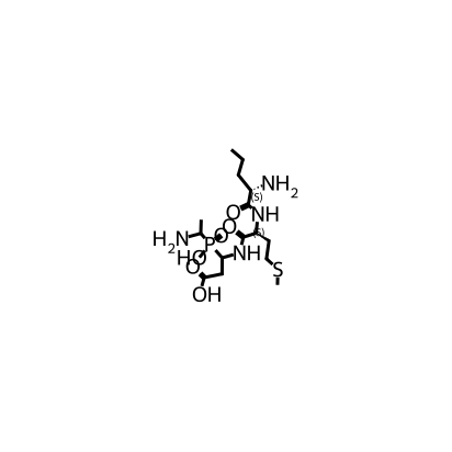 CCC[C@H](N)C(=O)N[C@@H](CCSC)C(=O)NC(CC(=O)O)P(=O)(O)C(C)N